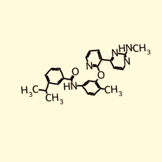 CNc1nccc(-c2cccnc2Oc2cc(NC(=O)c3cccc(C(C)C)c3)ccc2C)n1